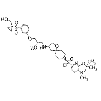 CN1CC(C)(C)Oc2nc(S(=O)(=O)N3CCC4(CC3)C[C@@H](NC[C@H](O)COc3cccc(S(=O)(=O)C5(CO)CC5)c3)CO4)ccc21